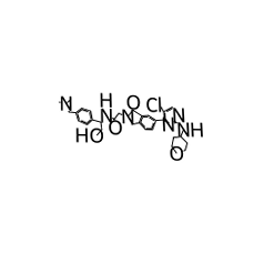 CN(C)Cc1ccc(C(CO)NC(=O)CN2Cc3ccc(-c4nc(NC5CCOCC5)ncc4Cl)cc3C2=O)cc1